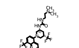 CN(C)CCNC(=O)N[C@@H]1C[C@H](C(F)(F)F)CN(c2ccc(C(F)(F)F)c3ncccc23)C1